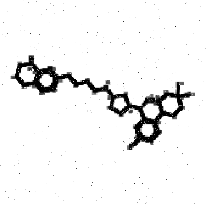 O=C(O)[C@H](c1cc(F)ccc1C1CCC(F)(F)CO1)N1CC[C@@H](OCCCCc2ccc3c(n2)NCCC3)C1